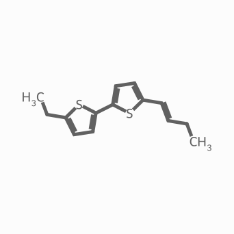 CC/C=C/c1ccc(-c2ccc(CC)s2)s1